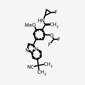 C=C(NC1CC1F)c1c(OC)cc(-c2cnc3cc(C(C)(C)C#N)ccn23)cc1OC(F)F